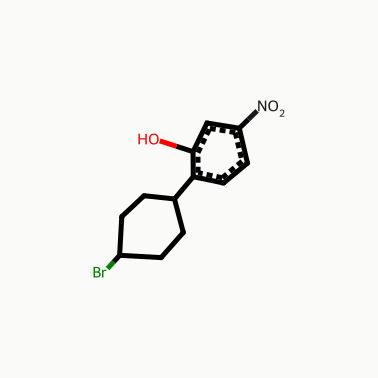 O=[N+]([O-])c1ccc(C2CCC(Br)CC2)c(O)c1